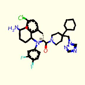 NC1CCC(N(c2ccc(F)c(F)c2)[C@H](Cc2ccc(Cl)cc2)C(=O)N2CCC(Cn3cncn3)(C3CCCCC3)CC2)CC1